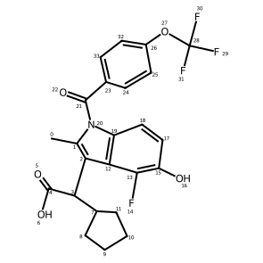 Cc1c(C(C(=O)O)C2CCCC2)c2c(F)c(O)ccc2n1C(=O)c1ccc(OC(F)(F)F)cc1